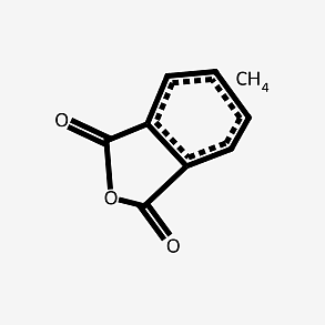 C.O=C1OC(=O)c2ccccc21